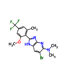 COc1cc(C(F)(F)F)cc(C)c1-c1nc2nc(N(C)C)c(Br)cc2[nH]1